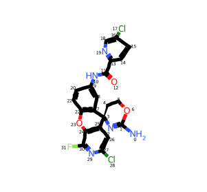 NC1=N[C@@]2(CCO1)c1cc(NC(=O)c3ccc(Cl)cn3)ccc1Oc1c2cc(Cl)nc1F